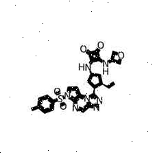 CC[C@@H]1C[C@H](Nc2c(NC3COC3)c(=O)c2=O)C[C@@H]1c1nnc2cnc3c(ccn3S(=O)(=O)c3ccc(C)cc3)n12